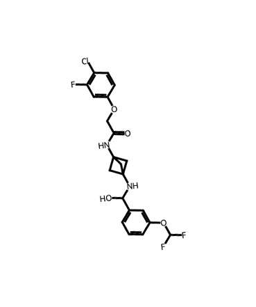 O=C(COc1ccc(Cl)c(F)c1)NC12CC(NC(O)c3cccc(OC(F)F)c3)(C1)C2